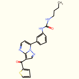 CCCCNC(=O)Nc1cccc(-c2ccnc3c(C(=O)c4cccs4)cnn23)c1